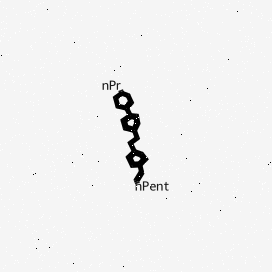 CCCCCC=Cc1ccc(CCc2ccc(C3=CCC(CCC)CC3)cc2)cc1